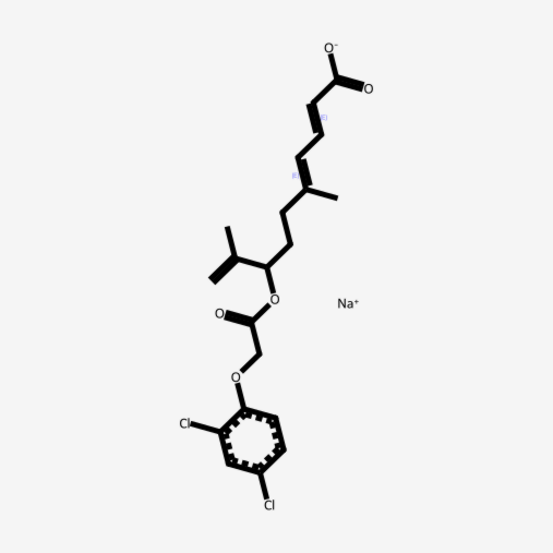 C=C(C)C(CC/C(C)=C/C=C/C(=O)[O-])OC(=O)COc1ccc(Cl)cc1Cl.[Na+]